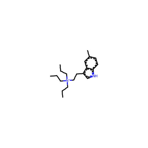 CCC[N+](CCC)(CCC)CCc1c[nH]c2ccc(C)cc12